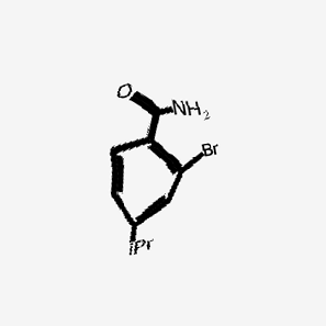 CC(C)c1ccc(C(N)=O)c(Br)c1